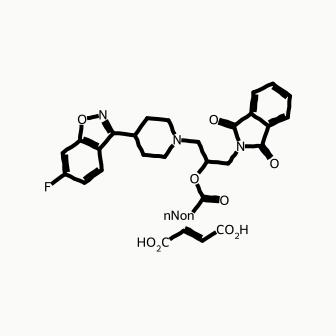 CCCCCCCCCC(=O)OC(CN1CCC(c2noc3cc(F)ccc23)CC1)CN1C(=O)c2ccccc2C1=O.O=C(O)/C=C/C(=O)O